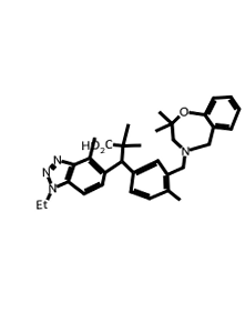 CCn1nnc2c(C)c(C(c3ccc(C)c(CN4Cc5ccccc5OC(C)(C)C4)c3)C(C)(C)C(=O)O)ccc21